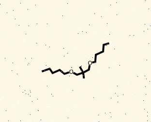 CCCCCOCC(C)(C)COCCCCC